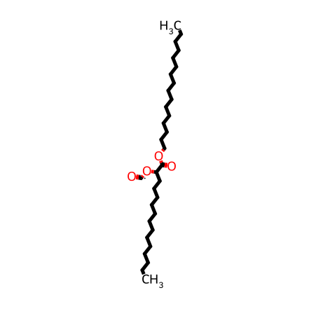 CCCCCCCCCCCCCCCCOC(=O)C(CCCCCCCCCCCCC)O[C]=O